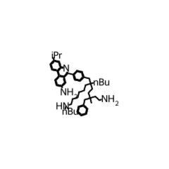 CCCCNCCCCCCC(CCCC)(CCC(C)(CCN)Cc1ccccc1)Cc1ccc(-c2nc3cc(C(C)C)ccc3c3ccc(N)cc23)cc1